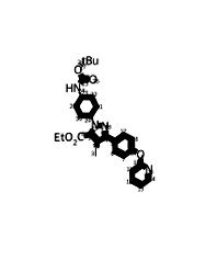 CCOC(=O)c1c(I)c(-c2ccc(Oc3ccccn3)cc2)nn1[C@H]1CC[C@@H](NC(=O)OC(C)(C)C)CC1